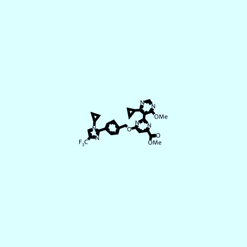 COC(=O)c1cc(OCc2ccc(-c3nc(C(F)(F)F)cn3C3CC3)cc2)nc(-c2c(OC)ncnc2C2CC2)n1